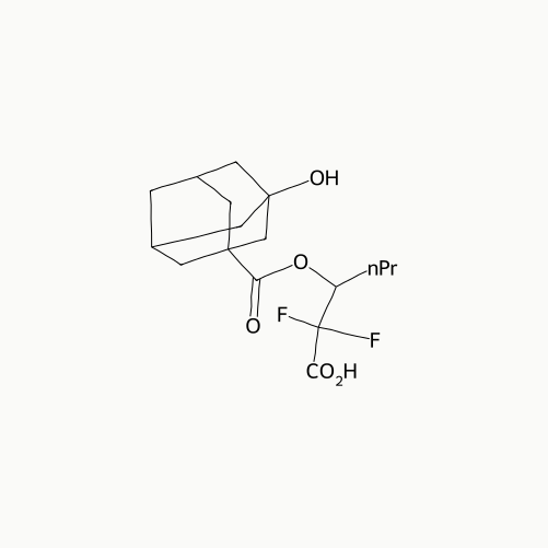 CCCC(OC(=O)C12CC3CC(CC(O)(C3)C1)C2)C(F)(F)C(=O)O